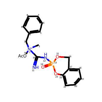 CC(=O)O[N+](C)(Cc1ccccc1)C(=N)NP1(=O)OCc2ccccc2O1